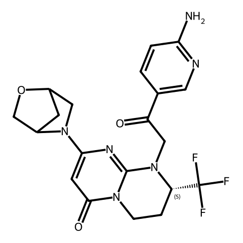 Nc1ccc(C(=O)CN2c3nc(N4CC5CC4CO5)cc(=O)n3CC[C@H]2C(F)(F)F)cn1